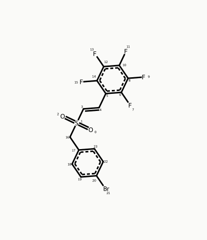 O=S(=O)(C=Cc1c(F)c(F)c(F)c(F)c1F)Cc1ccc(Br)cc1